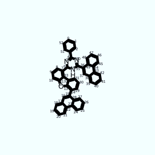 c1ccc(C2=NC(c3cccc4oc5c(-c6cc7ccccc7c7ccccc67)cccc5c34)NC(c3cc4ccccc4c4ccccc34)=N2)cc1